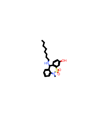 CCCCCCCCNC1c2ccccc2N(C)S(=O)(=O)c2cc(O)ccc21